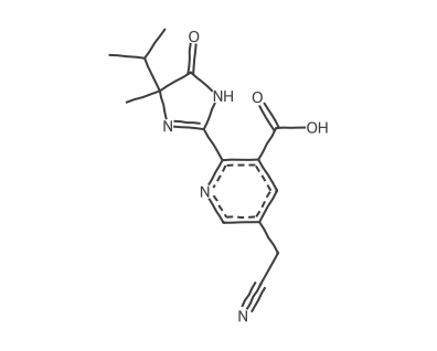 CC(C)C1(C)N=C(c2ncc(CC#N)cc2C(=O)O)NC1=O